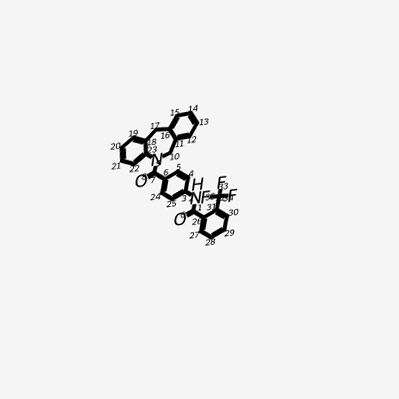 O=C(Nc1ccc(C(=O)N2Cc3ccccc3Cc3ccccc32)cc1)c1ccccc1C(F)(F)F